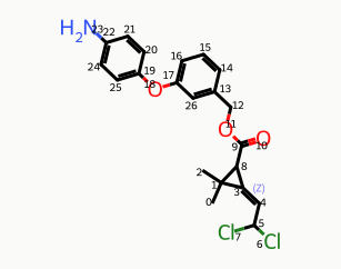 CC1(C)/C(=C\C(Cl)Cl)C1C(=O)OCc1cccc(Oc2ccc(N)cc2)c1